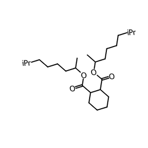 CC(C)CCCCC(C)OC(=O)C1CCCCC1C(=O)OC(C)CCCCC(C)C